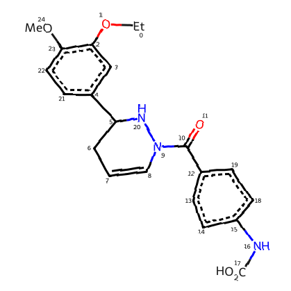 CCOc1cc(C2CC=CN(C(=O)c3ccc(NC(=O)O)cc3)N2)ccc1OC